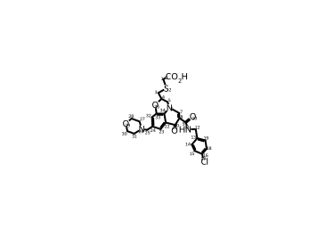 O=C(O)CSCC1Cn2cc(C(=O)NCc3ccc(Cl)cc3)c(=O)c3cc(CN4CCOCC4)cc(c32)O1